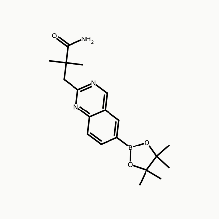 CC(C)(Cc1ncc2cc(B3OC(C)(C)C(C)(C)O3)ccc2n1)C(N)=O